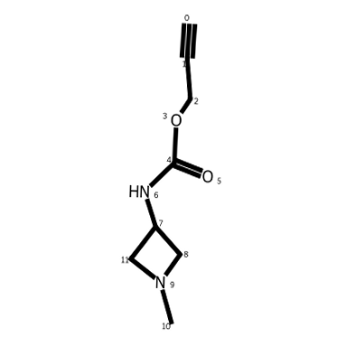 C#CCOC(=O)NC1CN(C)C1